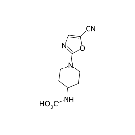 N#Cc1cnc(N2CCC(NC(=O)O)CC2)o1